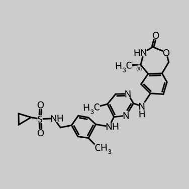 Cc1cc(CNS(=O)(=O)C2CC2)ccc1Nc1nc(Nc2ccc3c(c2)[C@@H](C)NC(=O)OC3)ncc1C